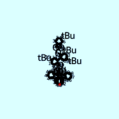 CC(C)(C)c1ccc2c(c1)OP(Oc1c(-c3cc(C(C)(C)C)cc(C(C)(C)C)c3OP3OC(c4ccccc4)(c4ccccc4)C(c4ccccc4)(c4ccccc4)O3)cc(C(C)(C)C)cc1C(C)(C)C)O2